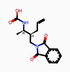 C=CC[C@@H](CN1C(=O)c2ccccc2C1=O)[C@@H](C)NC(=O)O